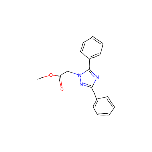 COC(=O)Cn1nc(-c2ccccc2)nc1-c1ccccc1